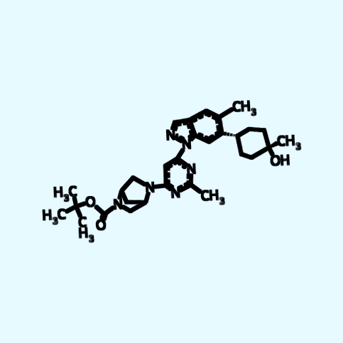 Cc1nc(N2CC3CC2CN3C(=O)OC(C)(C)C)cc(-n2ncc3cc(C)c([C@H]4CC[C@@](C)(O)CC4)cc32)n1